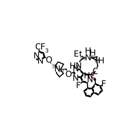 C#Cc1c(F)ccc2cccc(-c3nc4c5c(nc(OC[C@@]67CCCN6[C@H](COc6cc(C(F)(F)F)ncn6)CC7)nc5c3F)NC[C@@H](CC)N[C@H]3C[C@@H]3CCC4)c12